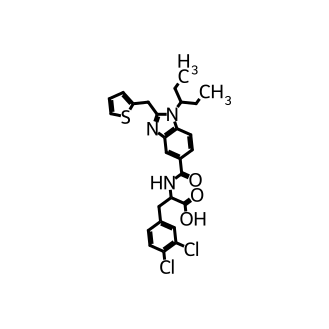 CCC(CC)n1c(Cc2cccs2)nc2cc(C(=O)NC(Cc3ccc(Cl)c(Cl)c3)C(=O)O)ccc21